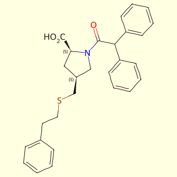 O=C(O)[C@@H]1C[C@H](CSCCc2ccccc2)CN1C(=O)C(c1ccccc1)c1ccccc1